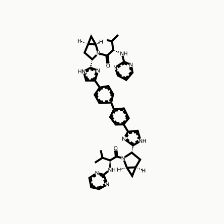 CC(C)[C@H](Nc1ncccn1)C(=O)N1[C@@H]2C[C@@H]2C[C@H]1c1nc(-c2ccc(-c3ccc(-c4c[nH]c([C@@H]5C[C@H]6C[C@H]6N5C(=O)[C@@H](Nc5ncccn5)C(C)C)n4)cc3)cc2)c[nH]1